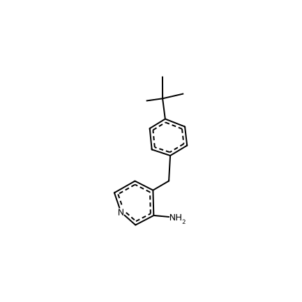 CC(C)(C)c1ccc(Cc2ccncc2N)cc1